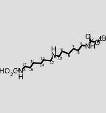 CC(C)(C)OC(=O)NCCCCCCNCCCCCCNC(=O)O